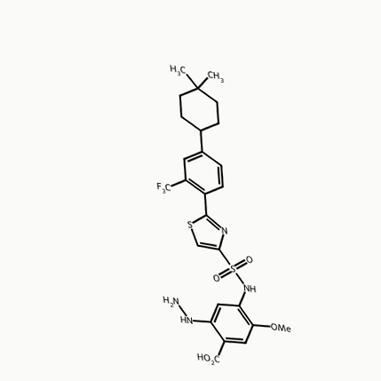 COc1cc(C(=O)O)c(NN)cc1NS(=O)(=O)c1csc(-c2ccc(C3CCC(C)(C)CC3)cc2C(F)(F)F)n1